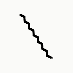 [CH2]CCCCCCCCCCCCC